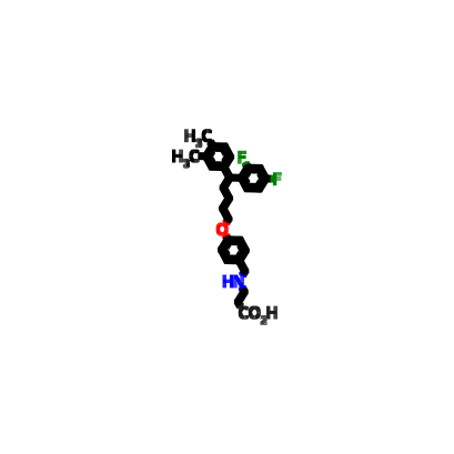 Cc1ccc(C(CCCCOc2ccc(CNCCC(=O)O)cc2)c2ccc(F)cc2F)cc1C